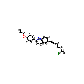 C=CCOc1ccc(-c2ccc3cc(C#CCCCC(C)F)ccc3n2)cc1